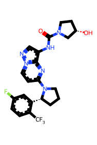 O=C(Nc1cnn2ccc(N3CCC[C@@H]3c3cc(F)ccc3C(F)(F)F)nc12)N1CC[C@H](O)C1